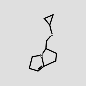 C1=C2CCC(COC3CC3)N2CC1